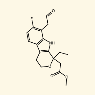 CCC1(CC(=O)OC)OCCc2c1[nH]c1c(CC=O)c(F)ccc21